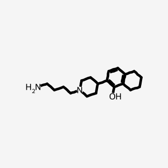 NCCCCN1CCC(c2ccc3c(c2O)CCCC3)CC1